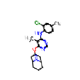 Cc1c(Nc2ccc(C#N)cc2Cl)ncnc1OC1CC2CCCC(C1)N2